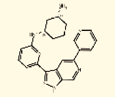 N[C@@H]1CCC[C@H](Nc2cccc(-c3n[nH]c4cnc(-c5cccnc5)cc34)n2)C1